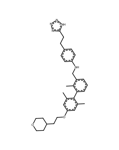 Cc1cc(OCCC2CCOCC2)cc(C)c1-c1cccc(CNc2ccc(CCc3nnn[nH]3)cc2)c1C